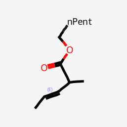 C/C=C/C(C)C(=O)OCCCCCC